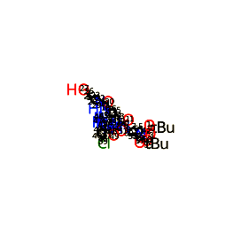 CC(C)(C)OC(=O)c1cc2cc(NC(=O)C(Cc3ccc(NC(=O)N4CCC(CCO)CC4)cc3)N3CCN(c4cc(Cl)ccc4-n4cnnn4)C(=O)C3=O)ccc2n1C(=O)OC(C)(C)C